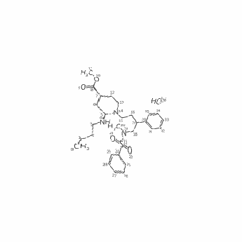 CCCCN[C@H]1C[C@@H](C(=O)OC)CCN1CCC(CN(C)S(=O)(=O)c1ccccc1)c1ccccc1.Cl